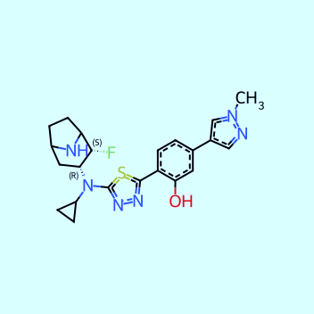 Cn1cc(-c2ccc(-c3nnc(N(C4CC4)[C@@H]4CC5CCC(N5)[C@@H]4F)s3)c(O)c2)cn1